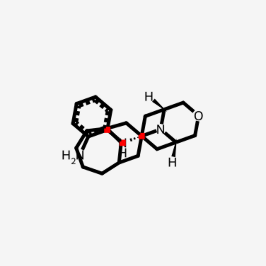 Nc1ccccc1N[C@H]1C[C@H]2COC[C@@H](C1)N2C1CC2CCCCC(C2)C1